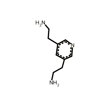 NCCc1cncc(CCN)c1